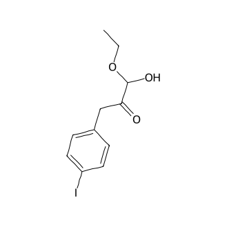 CCOC(O)C(=O)Cc1ccc(I)cc1